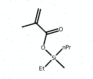 C=C(C)C(=O)O[Si](C)(CC)CCC